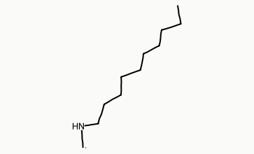 [CH2]NCCCCCCCCCC